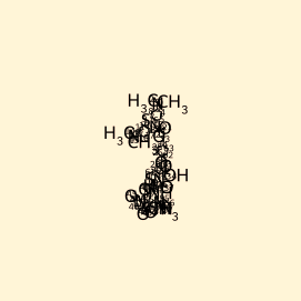 CN(C)c1ccc2c(c1)Sc1cc(N(C)C)ccc1N2C(=O)OCc1ccc(OCC2=C(C(=O)O)N3C(=O)[C@@H](NC(=O)[C@@H]4N5C(=O)CC5S(=O)(=O)C4(C)Cn4ccnn4)[C@H]3SC2)cc1